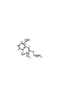 NCCC(N)=Cc1ccccc1O.[Cu]